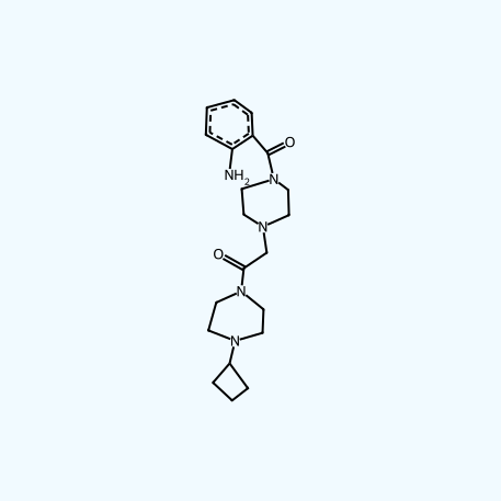 Nc1ccccc1C(=O)N1CCN(CC(=O)N2CCN(C3CCC3)CC2)CC1